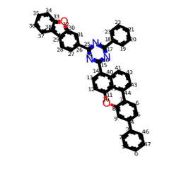 c1ccc(-c2ccc3c(c2)Oc2ccc(-c4nc(-c5ccccc5)nc(-c5ccc6c(c5)oc5ccccc56)n4)c4cccc-3c24)cc1